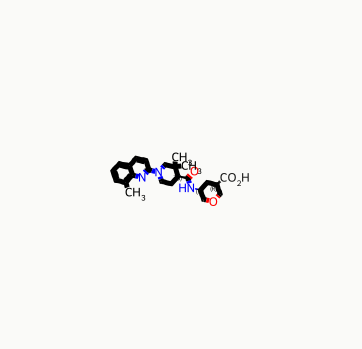 Cc1cccc2ccc(N3CC[C@H](C(=O)N[C@H]4COC[C@H](C(=O)O)C4)C(C)(C)C3)nc12